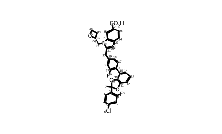 CC1(c2ccc(Cl)cc2F)Oc2cccc(-c3ccc(Cc4nc5ccc(C(=O)O)cc5n4C[C@@H]4CCO4)cc3F)c2O1